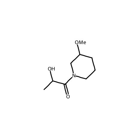 COC1CCCN(C(=O)C(C)O)C1